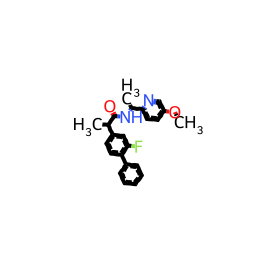 COc1ccc(C(C)NC(=O)C(C)c2ccc(-c3ccccc3)c(F)c2)nc1